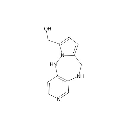 OCc1ccc2n1Nc1ccncc1NC2